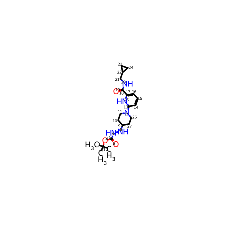 CC(C)(C)OC(=O)NNC1CCN(C2C=CC=C(C(=O)NCC3CC3)N2)CC1